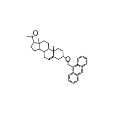 CC(=O)C1CCC2C3CC=C4CC(OCc5c6ccccc6cc6ccccc56)CCC4(C)C3CCC12C